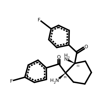 N[C@@]1(C(=O)c2ccc(F)cc2)CCCC[C@]1(N)C(=O)c1ccc(F)cc1